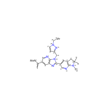 C=C(NC)c1cnc2c(c1)nc(-c1cnc3c(c1)CC(C)(C)N3CC)n2Cc1ccn(CC(C)C)n1